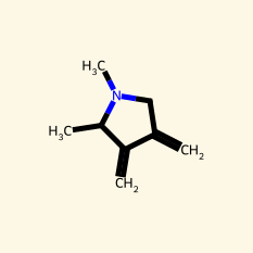 C=C1CN(C)C(C)C1=C